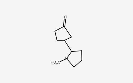 O=C1CCC(C2CCCN2C(=O)O)C1